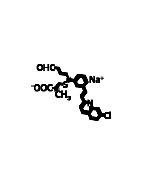 C[C@H](CS[C@@H](CCCC=O)c1cccc(C=Cc2ccc3ccc(Cl)cc3n2)c1)C(=O)[O-].[Na+]